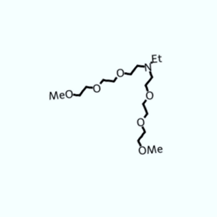 CCN(CCOCCOCCOC)CCOCCOCCOC